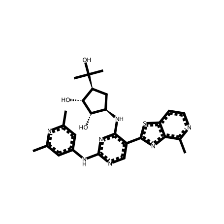 Cc1cc(Nc2ncc(-c3nc4c(C)nccc4s3)c(N[C@@H]3C[C@H](C(C)(C)O)[C@@H](O)[C@H]3O)n2)cc(C)n1